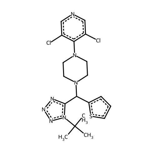 CC(C)(C)n1nnnc1C(c1cccs1)N1CCN(c2c(Cl)cncc2Cl)CC1